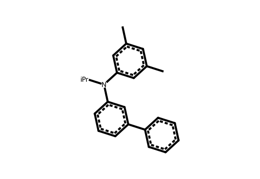 Cc1cc(C)cc(N(c2cccc(-c3ccccc3)c2)C(C)C)c1